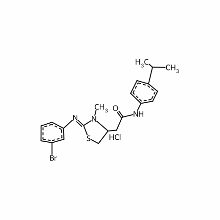 CC(C)c1ccc(NC(=O)CC2CS/C(=N\c3cccc(Br)c3)N2C)cc1.Cl